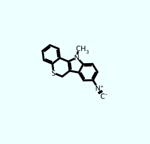 [C-]#[N+]c1ccc2c(c1)c1c(n2C)-c2ccccc2SC1